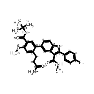 CNC(=O)c1c(-c2ccc(F)cc2)oc2ccc(-c3cc(C(=O)NC(C)(C)C)c(OC)cc3CCC(N)=O)cc12